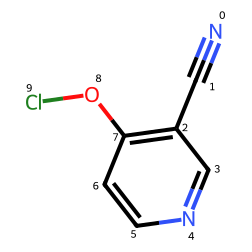 N#Cc1cnccc1OCl